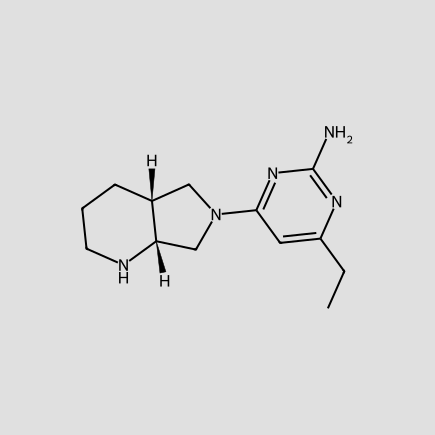 CCc1cc(N2C[C@H]3CCCN[C@H]3C2)nc(N)n1